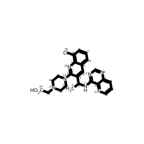 CC(Nc1ncnc2cccnc12)c1cc2cccc(Cl)c2nc1N1CCN(CC(=O)O)CC1